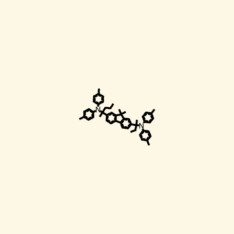 CCCC(C)(c1ccc2c(c1)C(C)(C)c1cc(C(C)(CC)N(c3ccc(C)cc3)c3ccc(C)cc3)ccc1-2)N(c1ccc(C)cc1)c1ccc(C)cc1